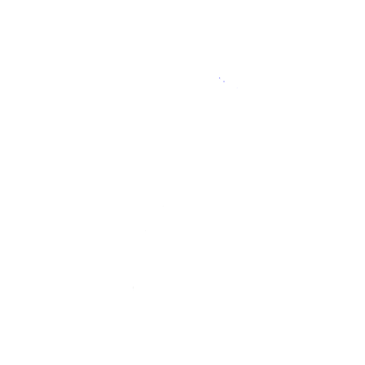 Nc1cc(Oc2ccc(C(F)(F)F)cc2)cc2ccoc12